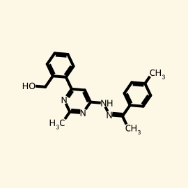 CC(=NNc1cc(-c2ccccc2CO)nc(C)n1)c1ccc(C)cc1